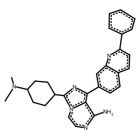 CN(C)C1CCC(c2nc(-c3ccc4ccc(-c5ccccc5)nc4c3)c3c(N)nccn23)CC1